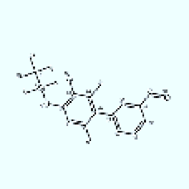 Cc1cc(O[Si](C)(C)C(C)(C)C)c(Cl)c(C)c1-c1cccc(C=O)c1